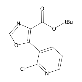 CC(C)(C)OC(=O)c1ncoc1-c1cccnc1Cl